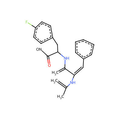 C=C(C)N/C(=C/c1ccccc1)C(=C)NC(Cc1ccc(F)cc1)C(=O)N=O